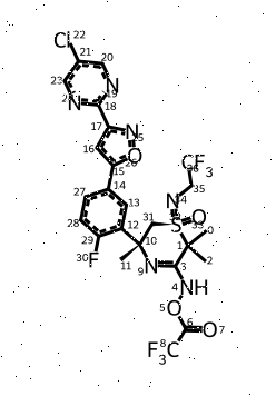 CC1(C)C(NOC(=O)C(F)(F)F)=N[C@](C)(c2cc(-c3cc(-c4ncc(Cl)cn4)no3)ccc2F)C[S@]1(=O)=NCC(F)(F)F